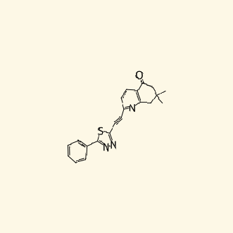 CC1(C)CC(=O)c2ccc(C#Cc3nnc(-c4ccccc4)s3)nc2C1